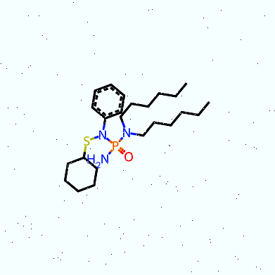 CCCCCCN(CCCCCC)P(N)(=O)N(SC1CCCCC1)c1ccccc1